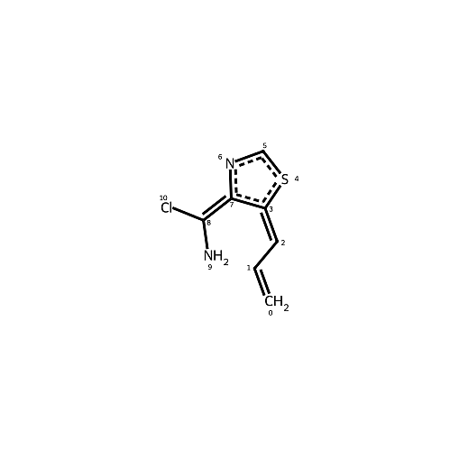 C=C/C=c1/scn/c1=C(/N)Cl